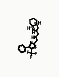 FC(F)(F)c1sc(CNC[C@@H]2C[C@@H]3CCCC[C@@H]3N2)nc1-c1ccccc1